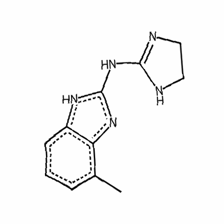 Cc1cccc2[nH]c(NC3=NCCN3)nc12